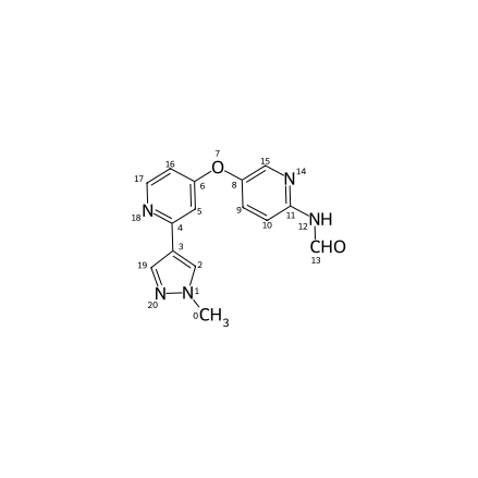 Cn1cc(-c2cc(Oc3ccc(NC=O)nc3)ccn2)cn1